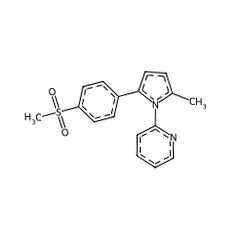 Cc1ccc(-c2ccc(S(C)(=O)=O)cc2)n1-c1ccccn1